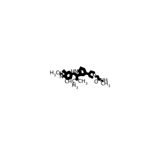 CNC(=O)CN1CCC(c2ccc3[nH]c(-c4cc(C)c5nn(C)cc5c4)c(C(C)C)c3c2)CC1